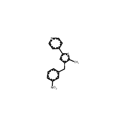 Cc1sc(-c2ccncc2)cc1Cc1cccc([N+](=O)[O-])c1